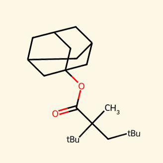 CC(C)(C)CC(C)(C(=O)OC12CC3CC(CC(C3)C1)C2)C(C)(C)C